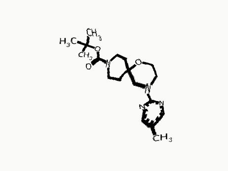 Cc1cnc(N2CCOC3(CCN(C(=O)OC(C)(C)C)CC3)C2)nc1